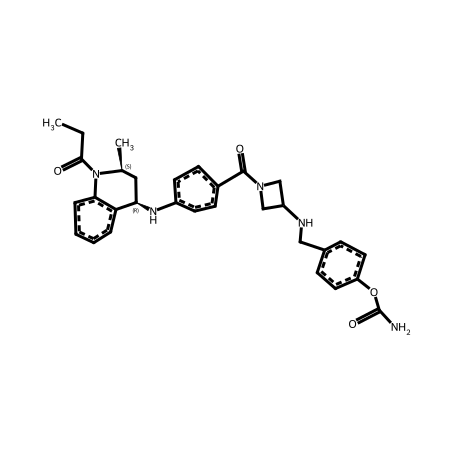 CCC(=O)N1c2ccccc2[C@H](Nc2ccc(C(=O)N3CC(NCc4ccc(OC(N)=O)cc4)C3)cc2)C[C@@H]1C